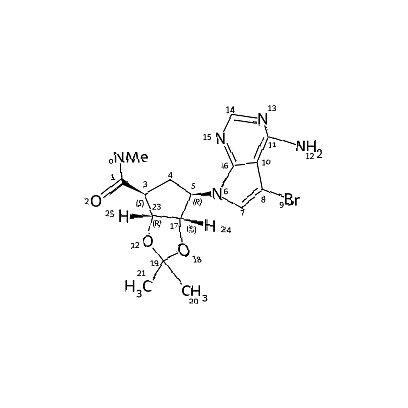 CNC(=O)[C@H]1C[C@@H](n2cc(Br)c3c(N)ncnc32)[C@@H]2OC(C)(C)O[C@@H]21